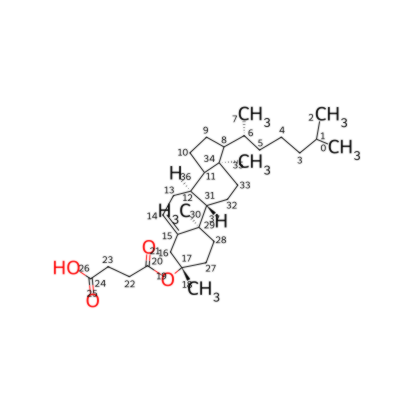 CC(C)CCC[C@@H](C)C1CCC2[C@@H]3CC=C4C[C@@](C)(OC(=O)CCC(=O)O)CC[C@]4(C)[C@H]3CC[C@]12C